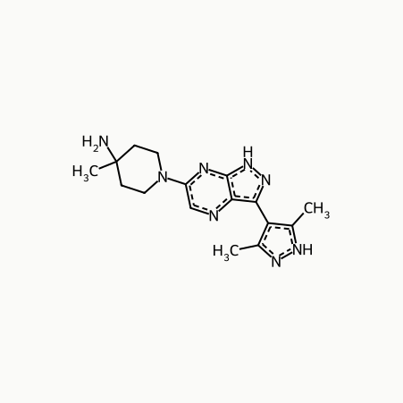 Cc1n[nH]c(C)c1-c1n[nH]c2nc(N3CCC(C)(N)CC3)cnc12